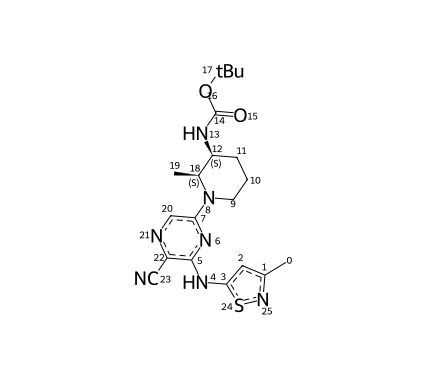 Cc1cc(Nc2nc(N3CCC[C@H](NC(=O)OC(C)(C)C)[C@@H]3C)cnc2C#N)sn1